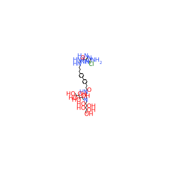 N=C(NCCCCc1ccc(-c2ccc(CCC(=O)NCCCN(CC(O)C(O)C(O)C(O)CO)CC(O)C(O)C(O)C(O)CO)cc2)cc1)NC(=O)c1nc(Cl)c(N)nc1N